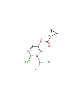 O=C(Oc1ccc(Cl)c(C(F)F)c1)C1CC1